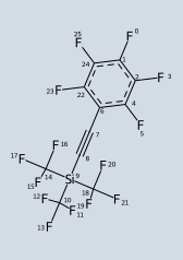 Fc1c(F)c(F)c(C#C[Si](C(F)(F)F)(C(F)(F)F)C(F)(F)F)c(F)c1F